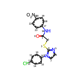 O=C(CSc1nccn1-c1ccc(Cl)cc1)Nc1ccc([N+](=O)[O-])cc1